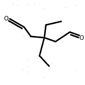 CCC(CC)(CC=O)CC=O